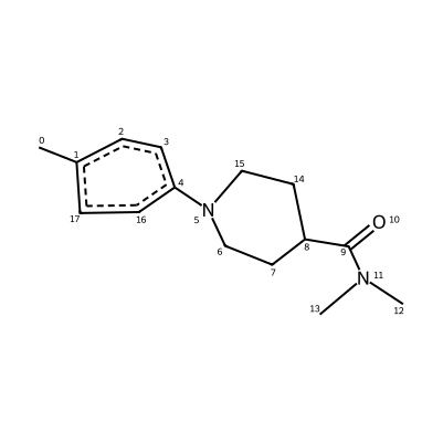 Cc1ccc(N2CCC(C(=O)N(C)C)CC2)cc1